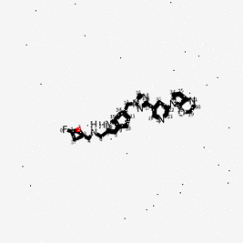 FC12CC(CNCc3cc4ccc(Cn5cnc(-c6cncc(-n7ccc8c7OCC=N8)c6)n5)cc4[nH]3)(C1)C2